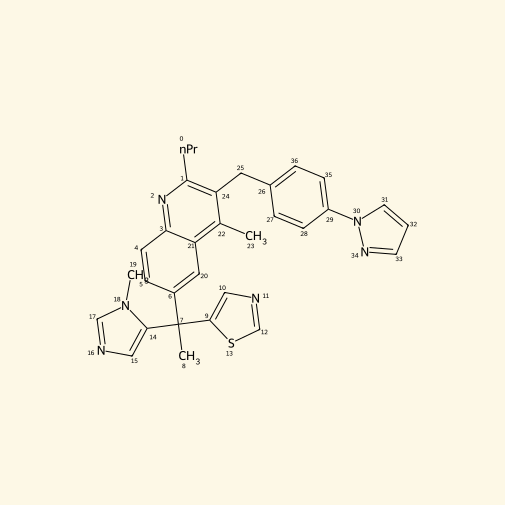 CCCc1nc2ccc(C(C)(c3cncs3)c3cncn3C)cc2c(C)c1Cc1ccc(-n2cccn2)cc1